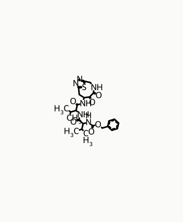 CC(C)C(NC(=O)OCc1ccccc1)C(=O)NC(C(=O)NC1Cc2nnc(s2)CNC(=O)C1=O)C(C)C